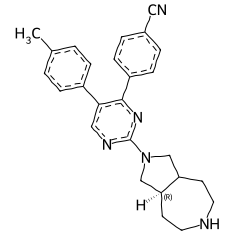 Cc1ccc(-c2cnc(N3CC4CCNCC[C@H]4C3)nc2-c2ccc(C#N)cc2)cc1